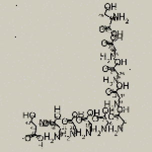 NCC(=O)O.NCC(=O)O.NCC(=O)O.NCC(=O)O.NCC(=O)O.NCC(=O)O.NCC(=O)O.NCC(=O)O.N[C@@H](CO)C(=O)O.N[C@@H](CO)C(=O)O